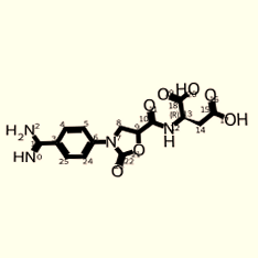 N=C(N)c1ccc(N2CC(C(=O)N[C@H](CC(=O)O)C(=O)O)OC2=O)cc1